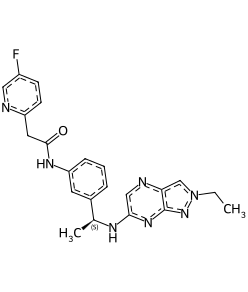 CCn1cc2ncc(N[C@@H](C)c3cccc(NC(=O)Cc4ccc(F)cn4)c3)nc2n1